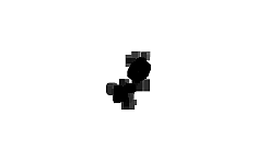 CC(C)[C@]1(C)SC(N[C@@H]2C[C@H]3CC2CC3(F)F)=NC1=O